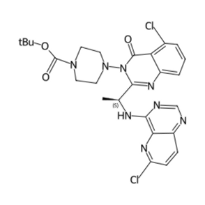 C[C@H](Nc1ncnc2ccc(Cl)nc12)c1nc2cccc(Cl)c2c(=O)n1N1CCN(C(=O)OC(C)(C)C)CC1